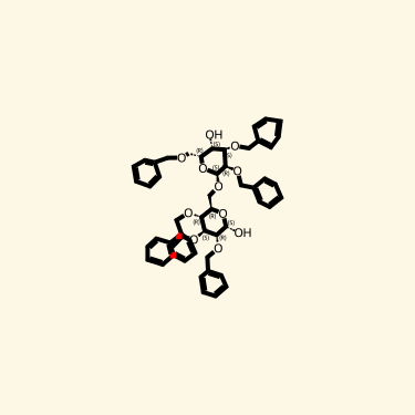 O[C@@H]1[C@H](OCc2ccccc2)[C@@H](OCc2ccccc2)[C@@H](OC[C@H]2O[C@H](O)[C@H](OCc3ccccc3)[C@@H](OCc3ccccc3)[C@@H]2OCc2ccccc2)O[C@@H]1COCc1ccccc1